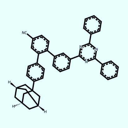 N#Cc1ccc(-c2cccc(-c3nc(-c4ccccc4)nc(-c4ccccc4)n3)c2)c(-c2ccc(C34C[C@H]5C[C@@H](C3)C[C@@H](C4)C5)cc2)c1